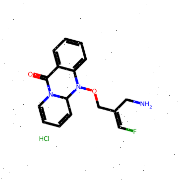 Cl.NC/C(=C\F)CON1c2ccccc2C(=O)N2C=CC=CC21